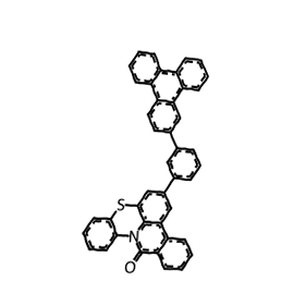 O=c1c2ccccc2c2cc(-c3cccc(-c4ccc5c6ccccc6c6ccccc6c5c4)c3)cc3c2n1-c1ccccc1S3